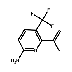 C=C(C)c1nc(N)ccc1C(F)(F)F